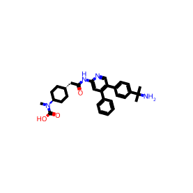 CN(C(=O)O)[C@H]1CC[C@H](CC(=O)Nc2cc(-c3ccccc3)c(-c3ccc(C(C)(C)N)cc3)cn2)CC1